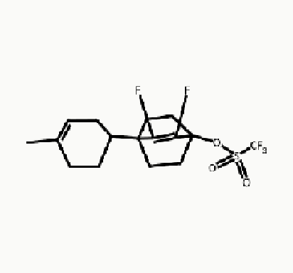 CC1=CCC(C23CCC(OS(=O)(=O)C(F)(F)F)(CC2)C(F)=C3F)CC1